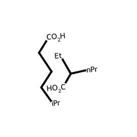 CC(C)CCCC(=O)O.CCCC(CC)C(=O)O